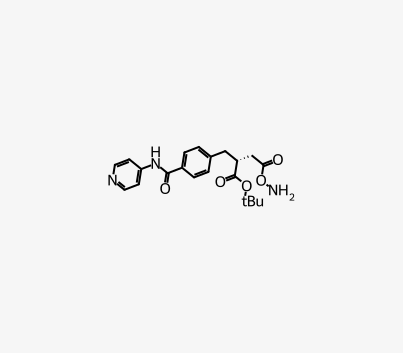 CC(C)(C)OC(=O)[C@@H](CC(=O)ON)Cc1ccc(C(=O)Nc2ccncc2)cc1